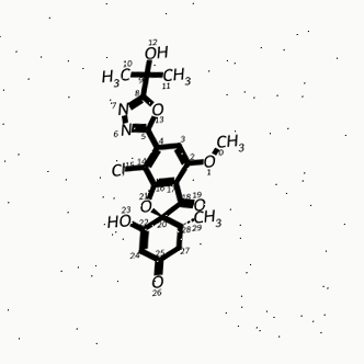 COc1cc(-c2nnc(C(C)(C)O)o2)c(Cl)c2c1C(=O)[C@@]1(O2)C(O)=CC(=O)C[C@H]1C